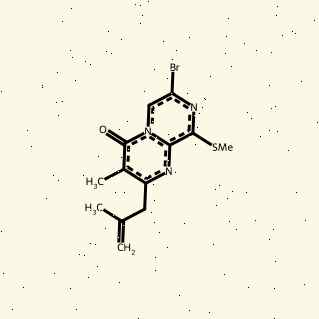 C=C(C)Cc1nc2c(SC)nc(Br)cn2c(=O)c1C